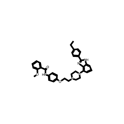 CCc1ccc(-c2nc3c(N4CCN(CCOc5ccc(NC(=O)c6ccccc6OC)cc5)CC4)cccc3[nH]2)cc1